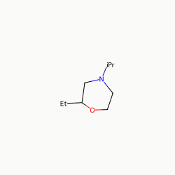 CCC1CN(C(C)C)CCO1